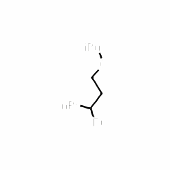 [CH2]CC(C)OCCC(CC)CCC